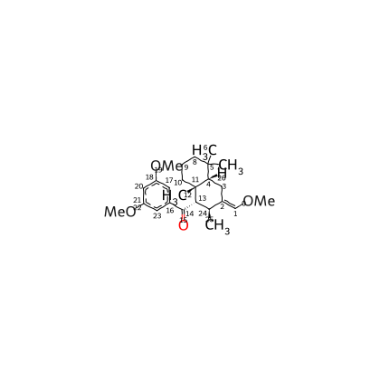 COC=C1C[C@H]2C(C)(C)CCC[C@@]2(C)[C@@H](C(=O)c2cc(OC)cc(OC)c2)[C@@H]1C